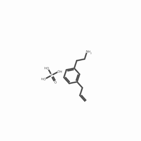 C=CCc1cccc(CCN)c1.O=P(O)(O)O